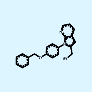 CC(C)Cc1cc2cccnc2n1-c1ccc(OCc2ccccc2)cc1